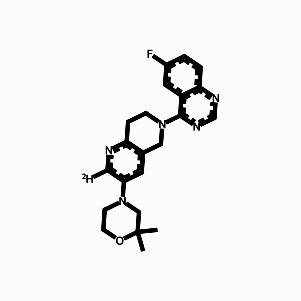 [2H]c1nc2c(cc1N1CCOC(C)(C)C1)CN(c1ncnc3ccc(F)cc13)CC2